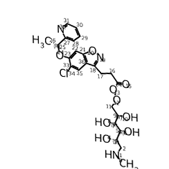 CNC[C@H](O)[C@@H](O)[C@H](O)[C@H](O)COOC(=O)CCc1noc2cc(O[C@H](C)c3ccccn3)c(Cl)cc12